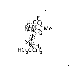 COC(=O)C1=C(CN2CCN3C(=S)N(CC(C)(C)C(=O)O)CC3C2)NC(c2nccs2)=NC1c1cccc(F)c1C